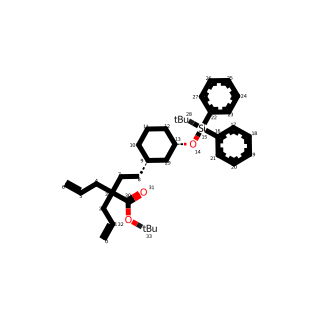 C=CCC(CC=C)(CC[C@@H]1CCC[C@H](O[Si](c2ccccc2)(c2ccccc2)C(C)(C)C)C1)C(=O)OC(C)(C)C